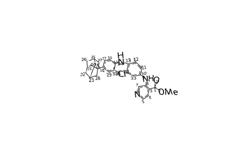 COC(=O)c1ccncc1Nc1ccc(Nc2ccc(C34CC5CC(CC(C5)C3)C4)cc2Cl)cc1